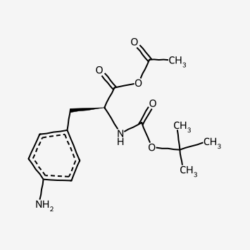 CC(=O)OC(=O)[C@H](Cc1ccc(N)cc1)NC(=O)OC(C)(C)C